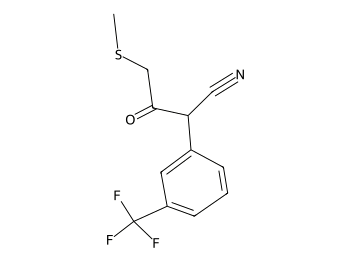 CSCC(=O)C(C#N)c1cccc(C(F)(F)F)c1